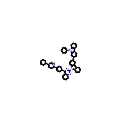 c1ccc(-c2ccc(-c3ccc(-c4nc(-n5c6ccccc6c6cc(-c7ccc8c9ccccc9n(-c9ccccc9)c8c7)ccc65)nc5ccccc45)cc3)nc2)cc1